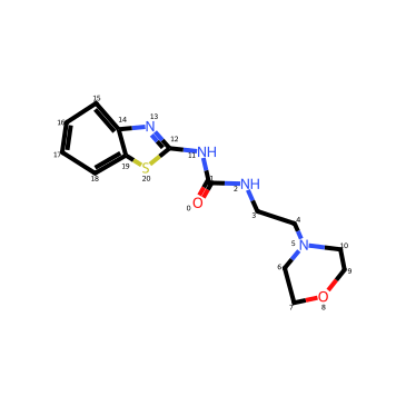 O=C(NCCN1CCOCC1)Nc1nc2ccccc2s1